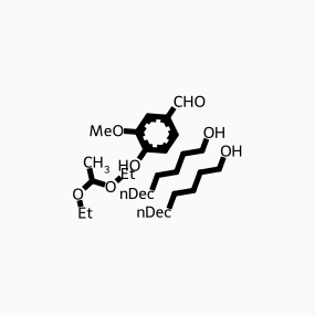 CCCCCCCCCCCCCCO.CCCCCCCCCCCCCCO.CCOC(C)OCC.COc1cc(C=O)ccc1O